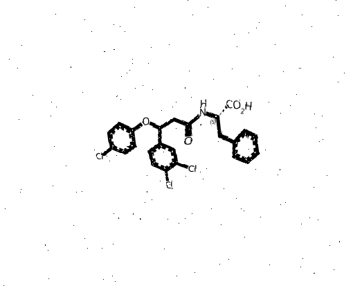 O=C(CC(Oc1ccc(Cl)cc1)c1ccc(Cl)c(Cl)c1)N[C@@H](Cc1ccccc1)C(=O)O